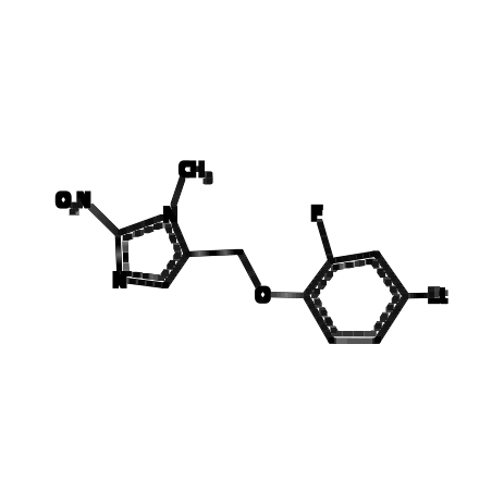 CCc1ccc(OCc2cnc([N+](=O)[O-])n2C)c(F)c1